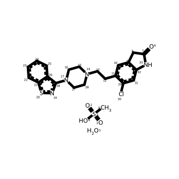 CS(=O)(=O)O.O.O=C1Cc2cc(CCN3CCN(c4nsc5ccccc45)CC3)c(Cl)cc2N1